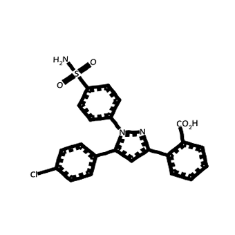 NS(=O)(=O)c1ccc(-n2nc(-c3ccccc3C(=O)O)cc2-c2ccc(Cl)cc2)cc1